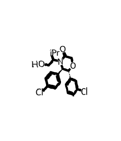 CC(C)C(CO)N1C(=O)CO[C@H](c2cccc(Cl)c2)[C@H]1c1ccc(Cl)cc1